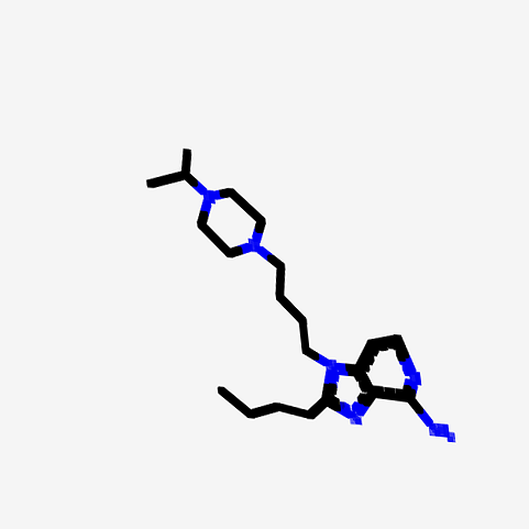 CCCCc1nc2c(N)nccc2n1CCCCN1CCN(C(C)C)CC1